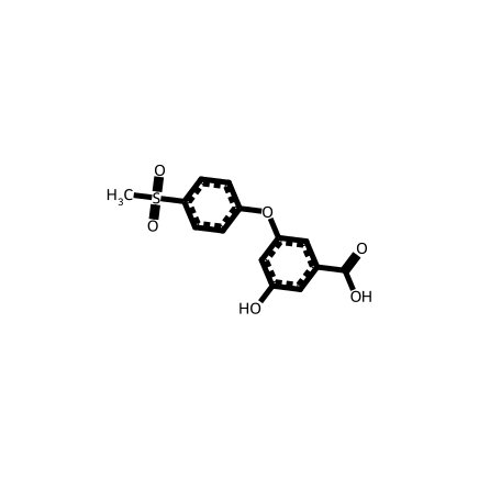 CS(=O)(=O)c1ccc(Oc2cc(O)cc(C(=O)O)c2)cc1